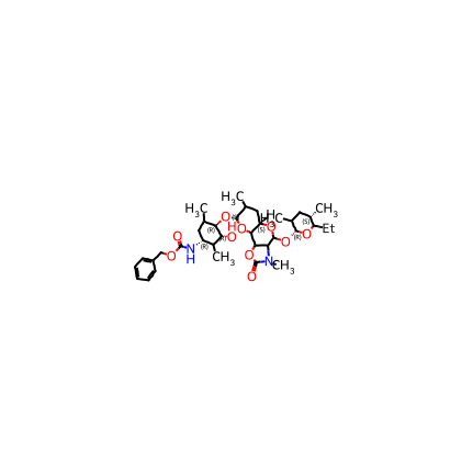 CCC1O[C@H](OC2O[C@H]3CC(C)[C@@H](O[C@@H]4C(C)C[C@@H](NC(=O)OCc5ccccc5)C(C)[C@H]4O)OC3C3OC(=O)N(C)C23)C(C)C[C@@H]1C